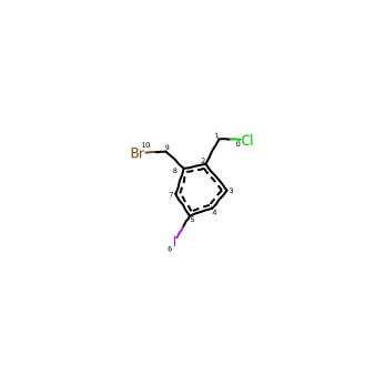 ClCc1ccc(I)cc1CBr